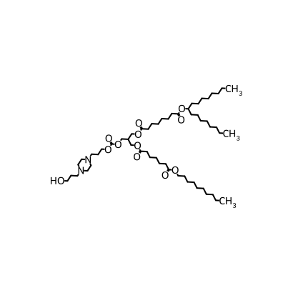 CCCCCCCCCCOC(=O)CCCCCC(=O)OCC(COC(=O)CCCCCCC(=O)OC(CCCCCCCC)CCCCCCCC)COC(=O)OCCCN1CCN(CCCO)CC1